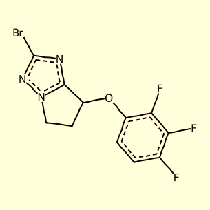 Fc1ccc(OC2CCn3nc(Br)nc32)c(F)c1F